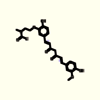 COc1cc(/C=C/C(=O)CC(=O)/C=C/c2ccc(O)c(OCCN(C)C(=O)Cl)c2)ccc1O